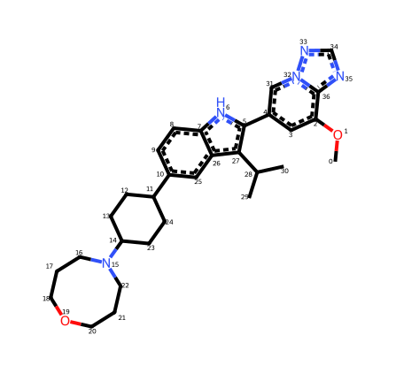 COc1cc(-c2[nH]c3ccc(C4CCC(N5CCCOCCC5)CC4)cc3c2C(C)C)cn2ncnc12